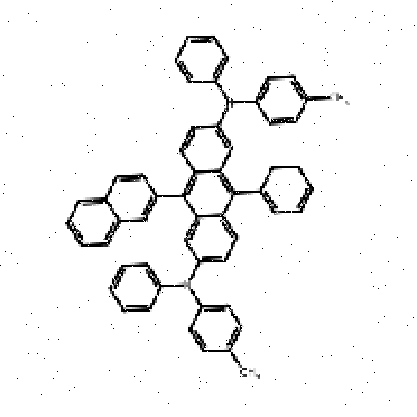 Cc1ccc(N(c2ccccc2)c2ccc3c(-c4ccc5ccccc5c4)c4cc(N(c5ccccc5)c5ccc(C)cc5)ccc4c(C4=CC=CCC4)c3c2)cc1